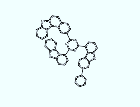 c1ccc(-c2ccc3c(c2)oc2cccc(-c4nc(-c5ccc6ccc7oc8ccccc8c7c6c5)nc(-c5cccc6oc7ccccc7c56)n4)c23)cc1